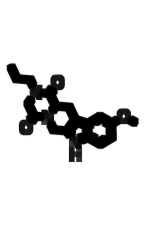 CCCN1CC(=O)N2Cc3[nH]c4ccc(OC)cc4c3CC2C1=O